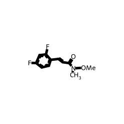 CON(C)C(=O)C=Cc1ccc(F)cc1F